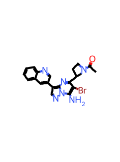 CC(=O)N1CCC(c2nc3c(-c4cnc5ccccc5c4)cnn3c(N)c2Br)C1